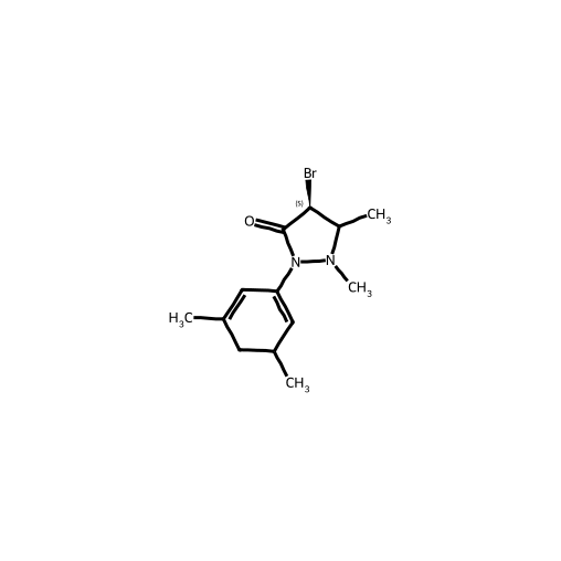 CC1=CC(N2C(=O)[C@@H](Br)C(C)N2C)=CC(C)C1